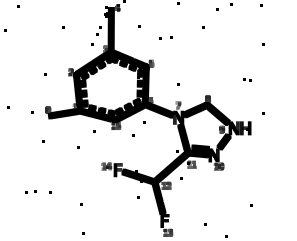 Cc1cc(C)cc(N2CNN=C2C(F)F)c1